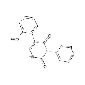 COc1ncccc1-c1c[nH]c(=O)n(-c2cccnc2)c1=O